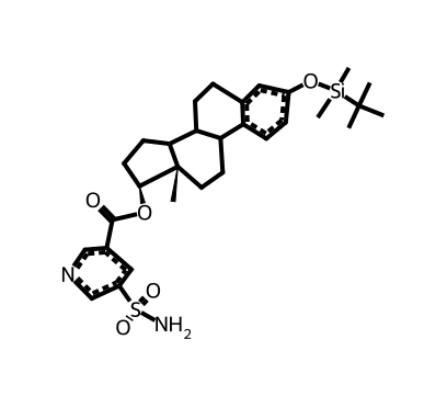 CC(C)(C)[Si](C)(C)Oc1ccc2c(c1)CCC1C2CC[C@@]2(C)C1CC[C@@H]2OC(=O)c1cncc(S(N)(=O)=O)c1